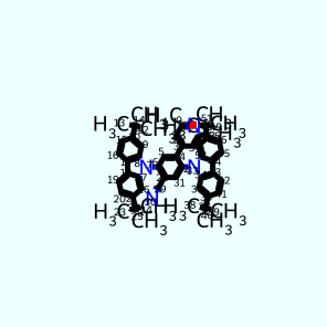 Cc1cc(-c2cc(-n3c4cc(C(C)(C)C)ccc4c4ccc(C(C)(C)C)cc43)c(C#N)cc2-n2c3cc(C(C)(C)C)ccc3c3ccc(C(C)(C)C)cc32)cc(C)n1